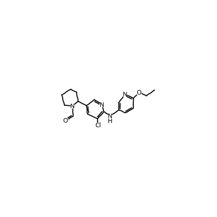 CCOc1ccc(Nc2ncc(C3CCCCN3C=O)cc2Cl)cn1